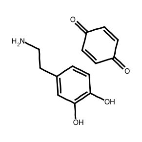 NCCc1ccc(O)c(O)c1.O=C1C=CC(=O)C=C1